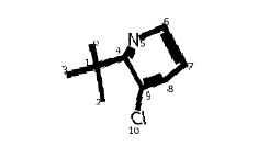 CC(C)(C)c1ncccc1Cl